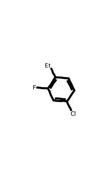 CCc1ccc(Cl)cc1F